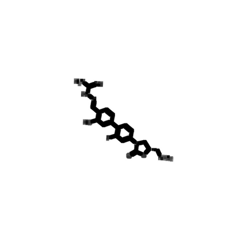 CC(=O)NC[C@H]1CN(c2ccc(-c3ccc(C=NNC(=N)N)c(O)c3)c(F)c2)C(=O)O1